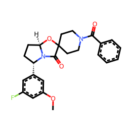 COc1cc(F)cc([C@@H]2CC[C@H]3OC4(CCN(C(=O)c5ccccc5)CC4)C(=O)N32)c1